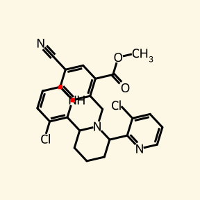 COC(=O)c1cc(C#N)ccc1CN1C(C2=C(Cl)C=CCN2)CCCC1c1ncccc1Cl